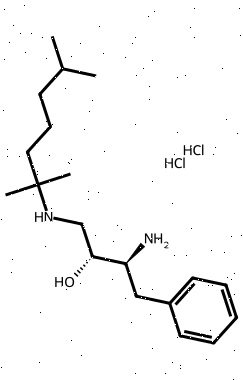 CC(C)CCCC(C)(C)NC[C@@H](O)[C@@H](N)Cc1ccccc1.Cl.Cl